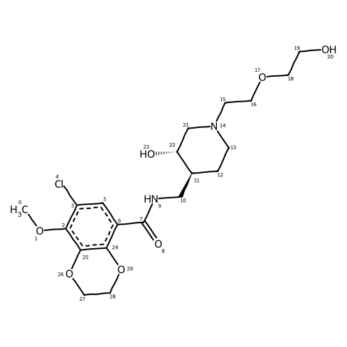 COc1c(Cl)cc(C(=O)NC[C@@H]2CCN(CCOCCO)C[C@H]2O)c2c1OCCO2